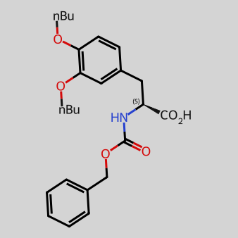 CCCCOc1ccc(C[C@H](NC(=O)OCc2ccccc2)C(=O)O)cc1OCCCC